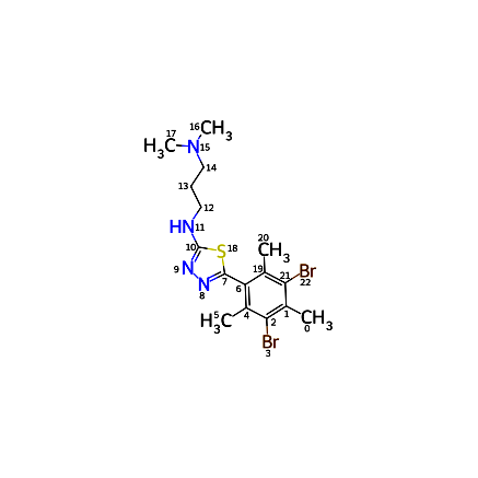 Cc1c(Br)c(C)c(-c2nnc(NCCCN(C)C)s2)c(C)c1Br